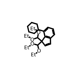 CCOC(OCC)C1(C(OCC)OCC)C=Cc2cccc(C3CCCCC3)c21